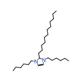 CCCCCCCCCCCCC1N(CCCCCC)C=CN1CCCCCC